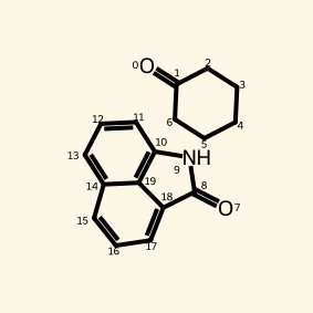 O=C1CCCCC1.O=C1Nc2cccc3cccc1c23